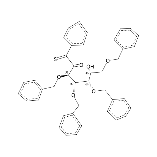 O=C(C(=S)c1ccccc1)[C@H](OCc1ccccc1)[C@@H](OCc1ccccc1)[C@@H](OCc1ccccc1)[C@H](O)COCc1ccccc1